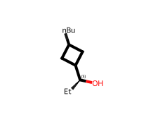 CCCCC1CC([C@@H](O)CC)C1